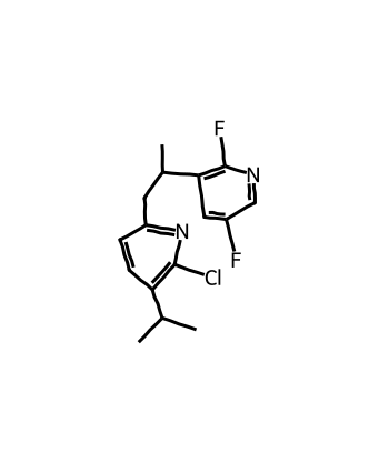 CC(C)c1ccc(CC(C)c2cc(F)cnc2F)nc1Cl